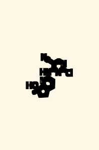 CC1(O)CCc2ccc(Nc3nc(Cl)ncc3C#N)nc21